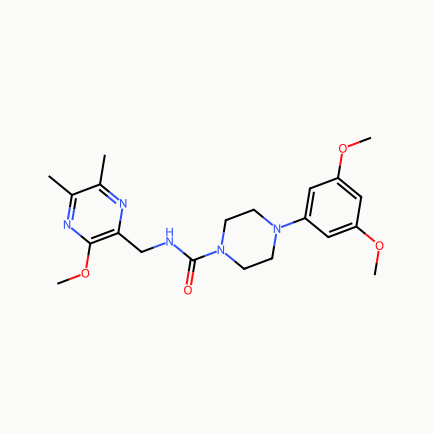 COc1cc(OC)cc(N2CCN(C(=O)NCc3nc(C)c(C)nc3OC)CC2)c1